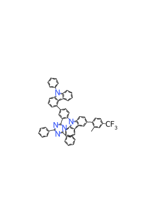 Cc1cc(C(F)(F)F)ccc1-c1ccc2c(c1)c1ccccc1n2-c1ccc(-c2cccc3c2c2ccccc2n3-c2ccccc2)cc1-c1nc(-c2ccccc2)nc(-c2ccccc2)n1